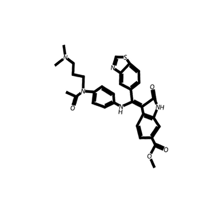 COC(=O)c1ccc2c(c1)NC(=O)C2=C(Nc1ccc(N(CCCN(C)C)C(C)=O)cc1)c1ccc2scnc2c1